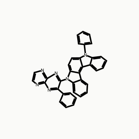 c1ccc(-c2nc3nccnc3nc2-n2c3ccccc3c3c4c5ccccc5n(-c5ccccc5)c4ccc32)cc1